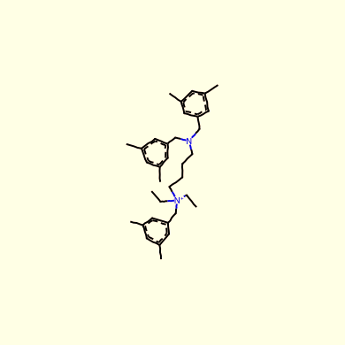 CC[N+](CC)(CCCCN(Cc1cc(C)cc(C)c1)Cc1cc(C)cc(C)c1)Cc1cc(C)cc(C)c1